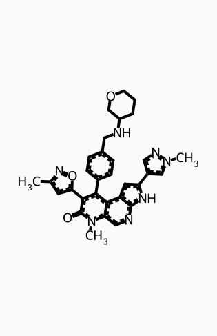 Cc1cc(-c2c(-c3ccc(CNC4CCCOC4)cc3)c3c4cc(-c5cnn(C)c5)[nH]c4ncc3n(C)c2=O)on1